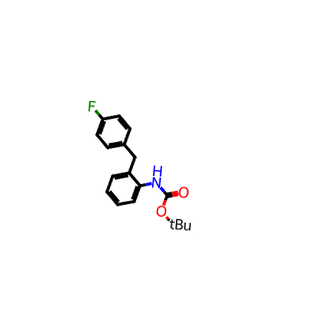 CC(C)(C)OC(=O)Nc1ccccc1Cc1ccc(F)cc1